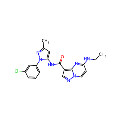 CCNc1ccn2ncc(C(=O)Nc3cc(C)nn3-c3cccc(Cl)c3)c2n1